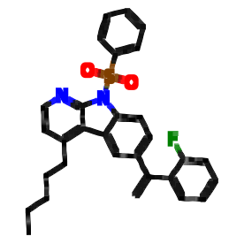 C=C(c1ccc2c(c1)c1c(CCCCC)ccnc1n2S(=O)(=O)c1ccccc1)c1ccccc1F